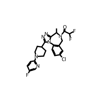 CC1c2nnc(C3CCN(c4ccc(F)cn4)CC3)n2-c2ccc(Cl)cc2CN1C(=O)C(F)F